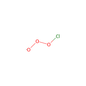 [O]OOCl